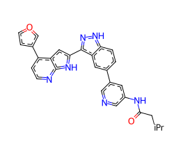 CC(C)CC(=O)Nc1cncc(-c2ccc3[nH]nc(-c4cc5c(-c6ccoc6)ccnc5[nH]4)c3c2)c1